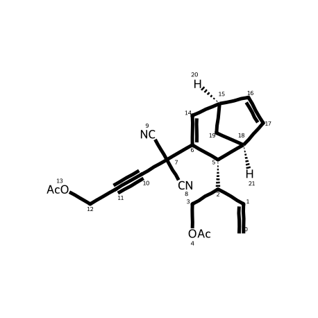 C=CC(COC(C)=O)[C@@H]1C(C(C#N)(C#N)C#CCOC(C)=O)=C[C@H]2C=C[C@@H]1C2